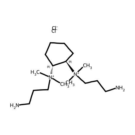 C[N+](C)(CCCN)[C@@H]1CCCC[C@H]1[N+](C)(C)CCCN.[Cl-].[Cl-]